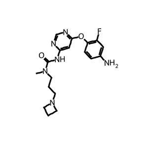 CN(CCCN1CCC1)C(=O)Nc1cc(Oc2ccc(N)cc2F)ncn1